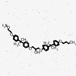 CCCCOc1ccc(C(C)(C)c2ccc(OCC(O)COc3ccc(C(C)(C)c4ccc(OCCOC)cc4)cc3)cc2)cc1